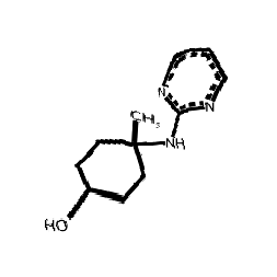 CC1(Nc2ncccn2)CCC(O)CC1